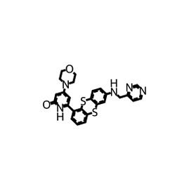 O=c1cc(N2CCOCC2)cc(-c2cccc3c2Sc2ccc(NCc4ccncn4)cc2S3)[nH]1